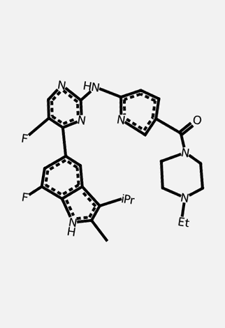 CCN1CCN(C(=O)c2ccc(Nc3ncc(F)c(-c4cc(F)c5[nH]c(C)c(C(C)C)c5c4)n3)nc2)CC1